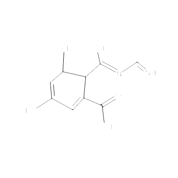 CC(=O)C1=CC(C)=CC(C)C1/C(C)=N/C=N